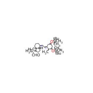 C=C1/C(=C/C=C2/CCC[C@]3(C)[C@@H](C(C)C=O)CC[C@@H]23)C[C@@H](O[Si](C)(C)C(C)(C)C)C[C@@H]1O[Si](C)(C)C(C)(C)C